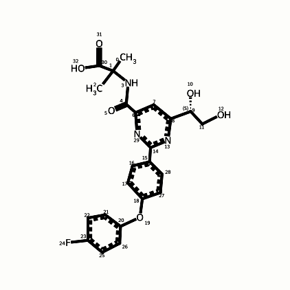 CC(C)(NC(=O)c1cc([C@H](O)CO)nc(-c2ccc(Oc3ccc(F)cc3)cc2)n1)C(=O)O